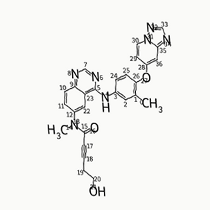 Cc1cc(Nc2ncnc3ccc(N(C)C(=O)C#CCCO)cc23)ccc1Oc1ccn2ncnc2c1